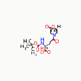 CC(C)(C)OC(=O)N[C@@H](CCC(=O)N1C[C@H]2CC1C(=O)O2)C(=O)O